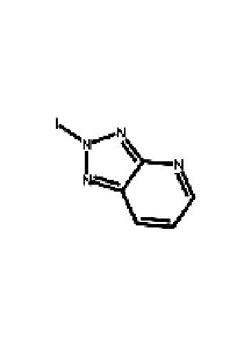 In1nc2cccnc2n1